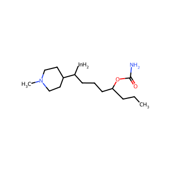 CCCC(CCC[CH]([InH2])C1CCN(C)CC1)OC(N)=O